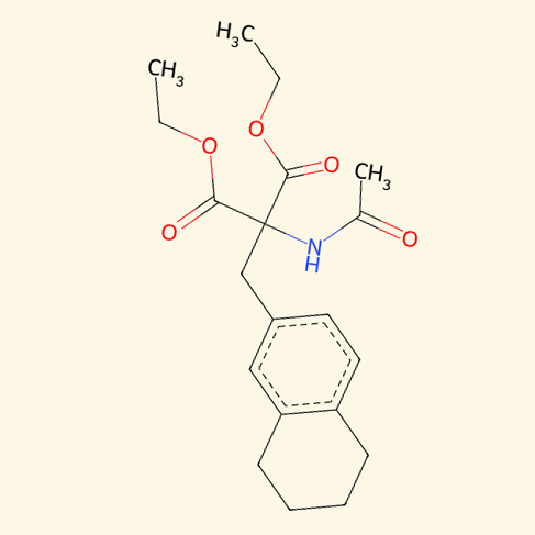 CCOC(=O)C(Cc1ccc2c(c1)CCCC2)(NC(C)=O)C(=O)OCC